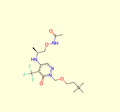 CC(=O)NOC[C@H](C)Nc1cnn(COCC[Si](C)(C)C)c(=O)c1C(F)(F)F